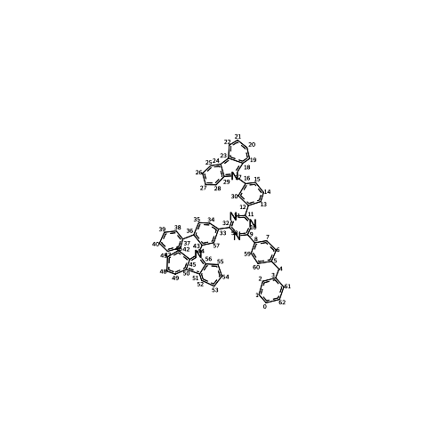 c1ccc(Cc2ccc(-c3nc(-c4cccc(-n5c6ccccc6c6ccccc65)c4)nc(-c4ccc(-c5ccccc5)c(-n5c6ccccc6c6ccccc65)c4)n3)cc2)cc1